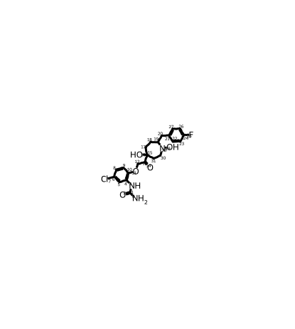 NC(=O)Nc1cc(Cl)ccc1OCC(=O)C1(O)CCC(Cc2ccc(F)cc2)N(O)CC1